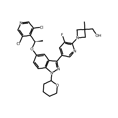 C[C@@H](Oc1ccc2c(c1)c(-c1cnc(N3CC(C)(CO)C3)c(F)c1)nn2C1CCCCO1)c1c(Cl)cncc1Cl